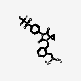 CN(C)Cc1cnccc1CN1C(=O)N(c2ccc(S(=O)(=O)C(F)(F)F)cc2)C(=O)C12CC2